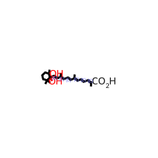 CC(/C=C/C=C(C)/C=C/C1(O)C(C)(C)CCCC1(C)O)=C\C=C\C=C(/C)C(=O)O